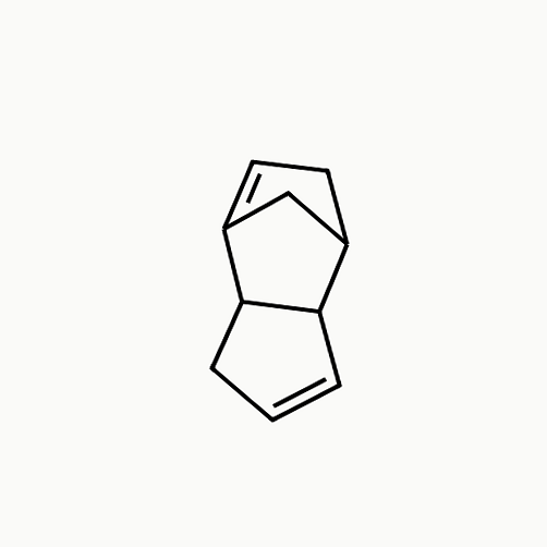 C1=CC2C3CC=C(C3)C2C1